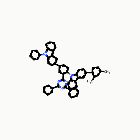 Cc1ccc(-c2ccc3c(c2)c2ccccc2n3-c2ccc(-c3ccc4c(c3)c3ccccc3n4-c3ccccc3)cc2-c2nc(-c3ccccc3)nc(-c3ccccc3)n2)c(C)c1